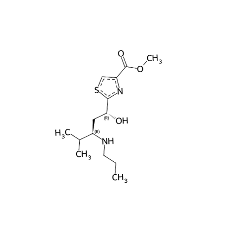 CCCN[C@H](C[C@@H](O)c1nc(C(=O)OC)cs1)C(C)C